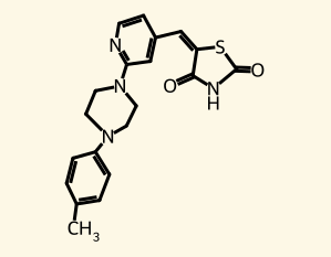 Cc1ccc(N2CCN(c3cc(C=C4SC(=O)NC4=O)ccn3)CC2)cc1